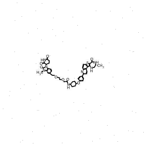 C[C@@H]1CNc2c(sc3ccc4nc(-c5ccc(OC6CCC(NC(=O)COCCOCCc7ccc8c(c7)n(C)c(=O)n8C7CCC(=O)NC7=O)CC6)cc5)ccc4c23)C(=O)N1